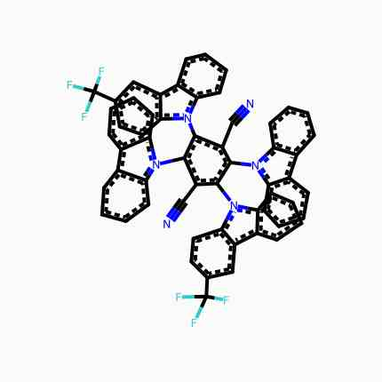 N#Cc1c(-n2c3ccccc3c3ccccc32)c(-n2c3ccccc3c3cc(C(F)(F)F)ccc32)c(C#N)c(-n2c3ccccc3c3ccccc32)c1-n1c2ccccc2c2cc(C(F)(F)F)ccc21